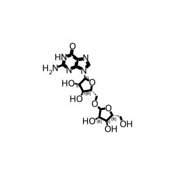 Nc1nc2c(ncn2[C@@H]2O[C@H](COC3O[C@H](CO)[C@@H](O)[C@H]3O)[C@@H](O)[C@H]2O)c(=O)[nH]1